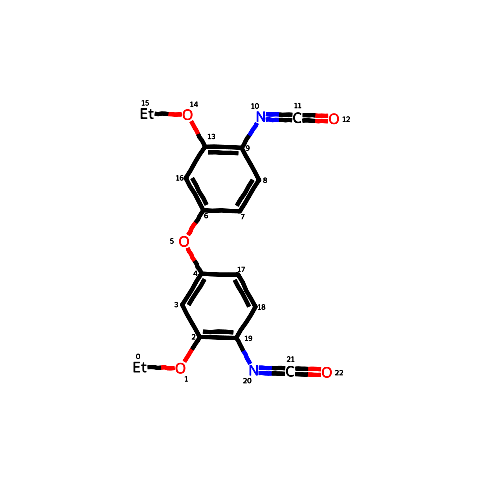 CCOc1cc(Oc2ccc(N=C=O)c(OCC)c2)ccc1N=C=O